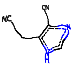 N#CCc1[nH]cnc1C#N